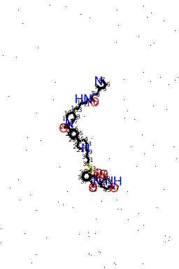 O=C(/C=C/c1cccnc1)NCCCCC1CCN(C(=O)c2ccc(C3CCN(CCCCSc4cccc5c4C(=O)N(C4CCC(=O)NC4=O)C5=O)CC3)cc2)CC1